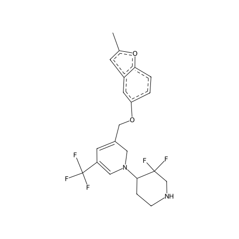 Cc1cc2cc(OCC3=CC(C(F)(F)F)=CN(C4CCNCC4(F)F)C3)ccc2o1